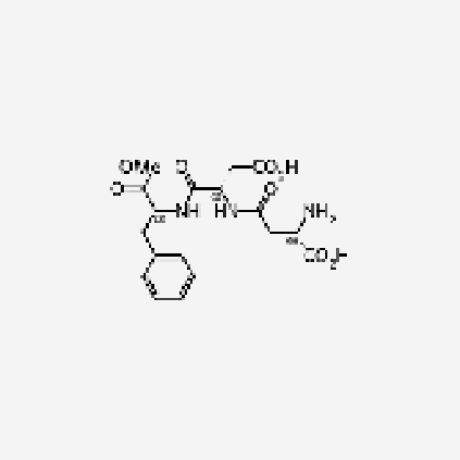 COC(=O)[C@H](Cc1ccccc1)NC(=O)[C@H](CC(=O)O)NC(=O)C[C@H](N)C(=O)O